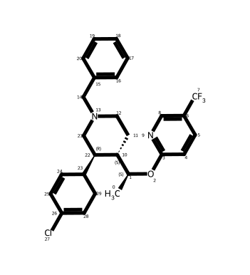 C[C@H](Oc1ccc(C(F)(F)F)cn1)[C@H]1CCN(Cc2ccccc2)C[C@@H]1C1C=CC(Cl)=CC1